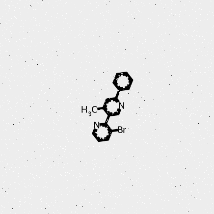 Cc1cc(-c2ccccc2)ncc1-c1ncccc1Br